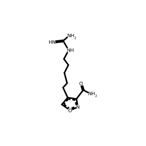 N=C(N)NCCCCCc1conc1C(N)=O